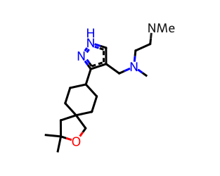 CNCCN(C)Cc1c[nH]nc1C1CCC2(CC1)COC(C)(C)C2